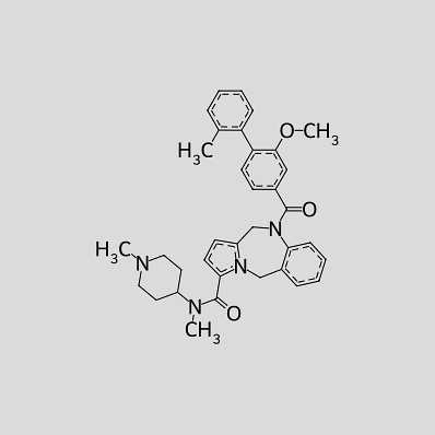 COc1cc(C(=O)N2Cc3ccc(C(=O)N(C)C4CCN(C)CC4)n3Cc3ccccc32)ccc1-c1ccccc1C